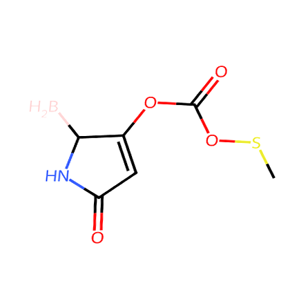 BC1NC(=O)C=C1OC(=O)OSC